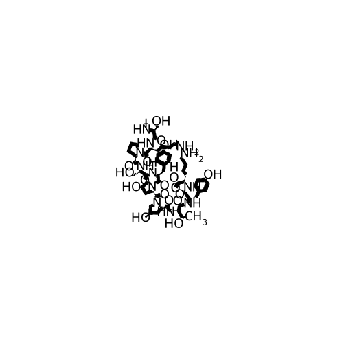 C[C@@H](O)[C@H](NC(=O)[C@@H]1C[C@@H](O)CN1C(=O)[C@@H]1C[C@@H](O)CN1C(=O)[C@H](Cc1ccc(O)cc1)NC(=O)[C@H](CO)NC(=O)[C@@H]1CCCN1C(=O)[C@H](CCCCN)NC(=O)[C@H](CO)NI)C(=O)N[C@@H](Cc1ccc(O)cc1)C(=O)N[C@@H](CCCCN)C(=O)O